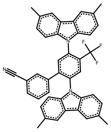 Cc1ccc2c(c1)c1cc(C)ccc1n2-c1cc(C(F)(F)F)c(-n2c3ccc(C)cc3c3cc(C)ccc32)cc1-c1cccc(C#N)c1